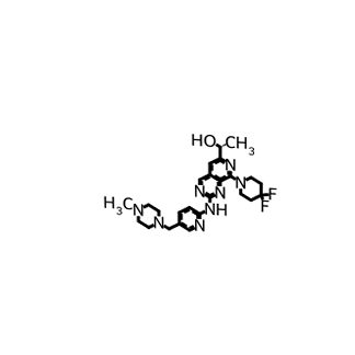 C[C@@H](O)c1cc2cnc(Nc3ccc(CN4CCN(C)CC4)cn3)nc2c(N2CCC(F)(F)CC2)n1